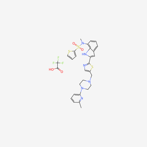 Cc1cccc(N2CCN(Cc3cnc(-c4cc5cccc(N(C)S(=O)(=O)c6cccs6)c5[nH]4)s3)CC2)n1.O=C(O)C(F)(F)F